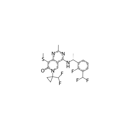 CSc1c(=O)n(C2(C(F)F)CC2)cc2c(N[C@H](C)c3cccc(C(F)F)c3F)nc(C)nc12